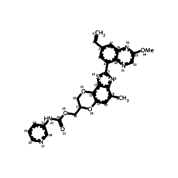 C=Cc1cc(-c2nc3c(C)cc4c(c3s2)OCC(COC(=O)Nc2cccnc2)O4)c2ncc(OC)nc2c1